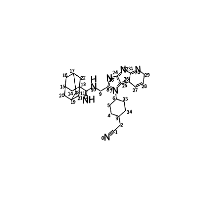 N#CCC1CCC(n2c(CNC(=N)C34CC5CC(CC(C5)C3)C4)nc3c2=C2C=CCN=C2N=3)CC1